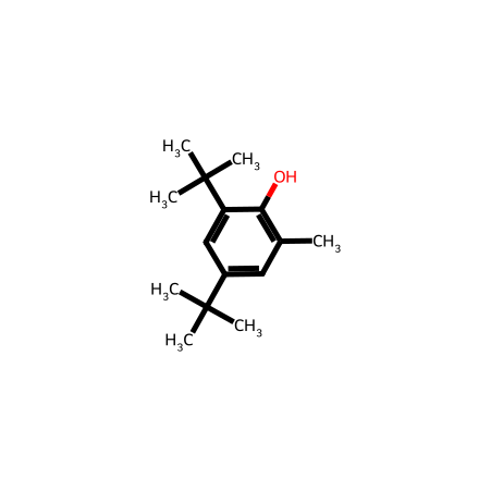 Cc1cc(C(C)(C)C)cc(C(C)(C)C)c1O